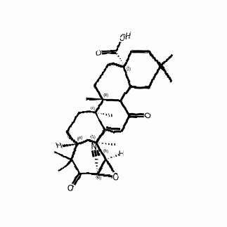 CC1(C)CC[C@]2(C(=O)O)CC[C@]3(C)C(C(=O)C=C4[C@@]5(C)[C@H]6O[C@@]6(C#N)C(=O)C(C)(C)[C@@H]5CC[C@]43C)C2C1